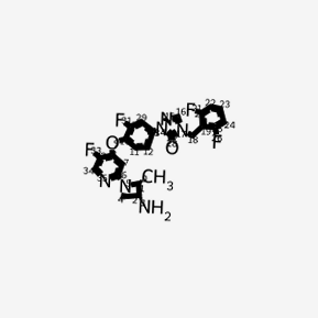 C[C@H]1[C@@H](N)CN1c1cc(Oc2ccc(-n3ncn(Cc4c(F)cccc4F)c3=O)cc2F)c(F)cn1